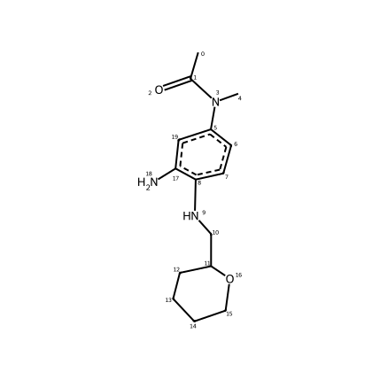 CC(=O)N(C)c1ccc(NCC2CCCCO2)c(N)c1